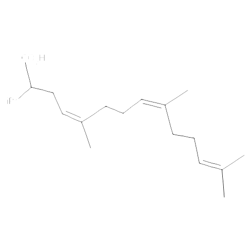 CC(C)=CCCC(C)=CCCC(C)=CCC(C(=O)O)C(C)C